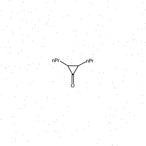 CCCC1C(=O)C1CCC